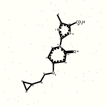 Cc1nc(-n2ccc(OCCC3CC3)cc2=O)sc1C(=O)O